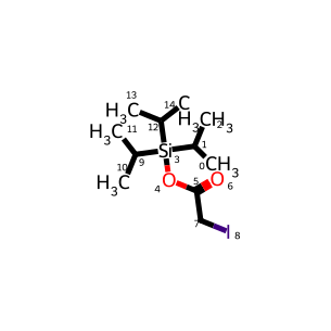 CC(C)[Si](OC(=O)CI)(C(C)C)C(C)C